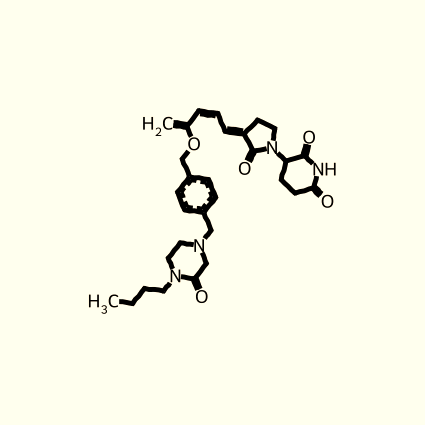 C=C(/C=C\C=C1/CCN(C2CCC(=O)NC2=O)C1=O)OCc1ccc(CN2CCN(CCCC)C(=O)C2)cc1